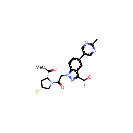 COC(=O)[C@H]1C[C@@H](F)CN1C(=O)Cn1nc([C@@H](C)O)c2cc(-c3cnc(C)nc3)ccc21